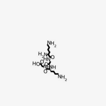 NCCCC[C@H](NC(=O)CNC(=O)[C@@H](N)CCCCN)C(=O)NCC(=O)O